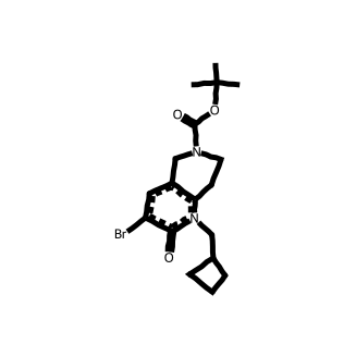 CC(C)(C)OC(=O)N1CCc2c(cc(Br)c(=O)n2CC2CCC2)C1